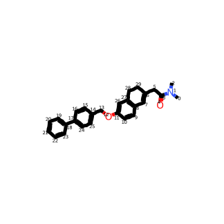 CN(C)C(=O)CC1=Cc2ccc(OCc3ccc(-c4ccccc4)cc3)cc2CC1